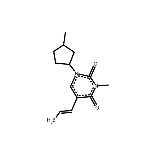 B/C=C/c1cn(C2CCC(C)C2)c(=O)n(C)c1=O